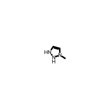 CN1C=CNN1